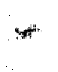 CCNC(=O)Nc1cc(-c2nc(C(F)(F)F)cs2)c(-c2ccc3c(c2)c(=O)c(C(=O)OCC)cn3CC2CCN(CC3CCCO3)C2)cn1